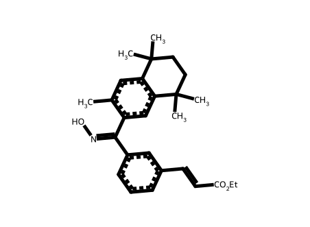 CCOC(=O)/C=C/c1cccc(/C(=N/O)c2cc3c(cc2C)C(C)(C)CCC3(C)C)c1